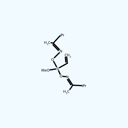 C=C[Si](OC)(ON=C(C)C(C)C)ON=C(C)C(C)C